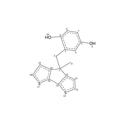 CC1(Cc2cc(O)ccc2O)c2ccsc2-c2sccc21